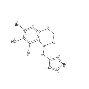 Oc1c(Br)cc2c(c1Br)C(Cc1c[nH]cn1)CCC2